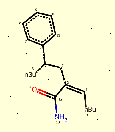 CCCC/C=C(/CC(CCCC)c1ccccc1)C(N)=O